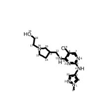 Cn1cc(Nc2ncc(Cl)c(NCC3CCN(CCO)C3)n2)cn1